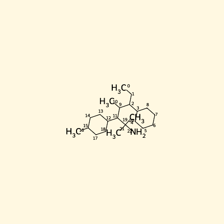 CCC(C1CCCCC1)C(C)C(C1CCC(C)CC1)C(C)(C)N